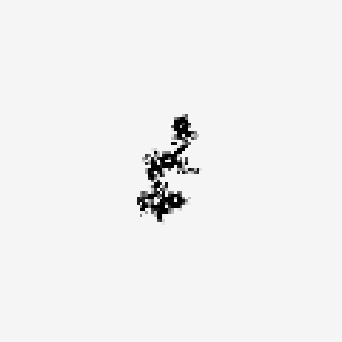 COC(=O)c1ccc(N(C)C(=O)C2CCN(C(=O)C[C@@H]3N=C(c4ccc(Cl)cc4)c4c(sc(C)c4C)-n4c(C)nnc43)CC2)cc1C#CCN1C(=O)c2ccccc2C1=O